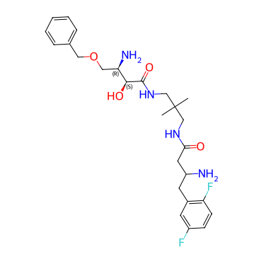 CC(C)(CNC(=O)CC(N)Cc1cc(F)ccc1F)CNC(=O)[C@@H](O)[C@H](N)COCc1ccccc1